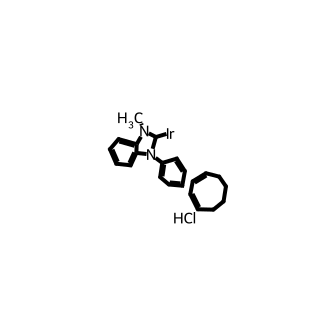 C1=C\CCCC\C=C/1.CN1c2ccccc2N(c2ccccc2)[CH]1[Ir].Cl